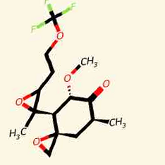 CO[C@@H]1C(=O)[C@@H](C)C[C@]2(CO2)[C@H]1C1(C)OC1CCOC(F)(F)F